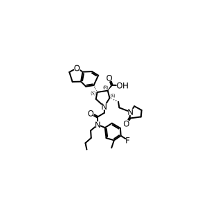 CCCCN(C(=O)CN1C[C@H](c2ccc3c(c2)CCO3)[C@@H](C(=O)O)[C@@H]1CCN1CCCC1=O)c1ccc(F)c(C)c1